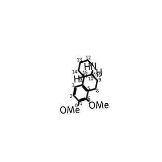 COc1ccc2c(c1OC)CC[C@@H]1NCCC[C@@H]21